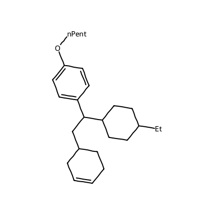 CCCCCOc1ccc(C(CC2CC=CCC2)C2CCC(CC)CC2)cc1